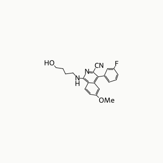 COc1ccc2c(NCCCCO)nc(C#N)c(-c3cccc(F)c3)c2c1